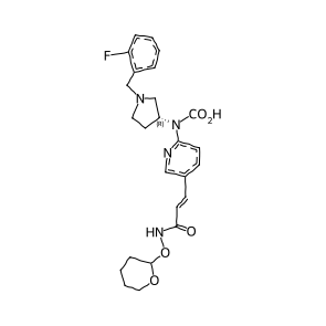 O=C(C=Cc1ccc(N(C(=O)O)[C@@H]2CCN(Cc3ccccc3F)C2)nc1)NOC1CCCCO1